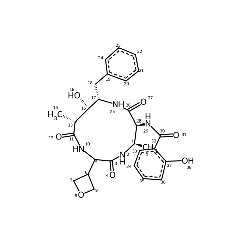 C[C@H]1NC(=O)C(C2COC2)NC(=O)[C@H](C)[C@H](O)[C@H](Cc2ccccc2)NC(=O)[C@H]1NC(=O)c1ccccc1O